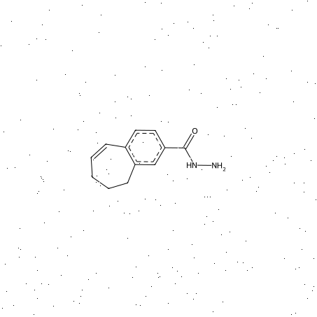 NNC(=O)c1ccc2c(c1)CCCC=C2